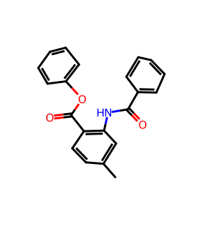 Cc1ccc(C(=O)Oc2ccccc2)c(NC(=O)c2ccccc2)c1